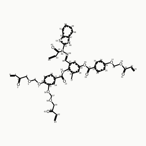 C=CC(=O)COCOc1ccc(C(=O)Oc2c(C)cc(OC(=O)c3ccc(OCOC(=O)C=C)cc3)cc2/C=N/N(C(=O)C=C)c2nc3ccccc3s2)cc1OCOCC(=O)C=C